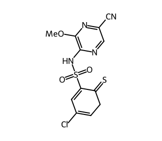 COc1nc(C#N)cnc1NS(=O)(=O)C1=CC(Cl)=CCC1=S